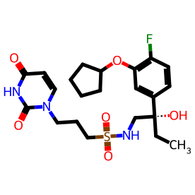 CC[C@@](O)(CNS(=O)(=O)CCCn1ccc(=O)[nH]c1=O)c1ccc(F)c(OC2CCCC2)c1